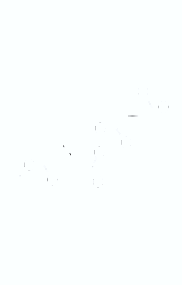 COC(=O)C=CC(=O)OCCN(CC(=O)OC(C)(C)C)CC(=O)OC(C)(C)C